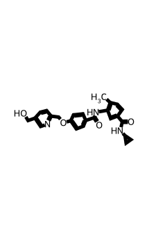 Cc1ccc(C(=O)NC2CC2)cc1NC(=O)c1ccc(OCc2ccc(CO)cn2)cc1